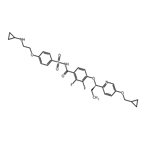 CC[C@@H](Oc1ccc(C(=O)NS(=O)(=O)c2ccc(OCCNC3CC3)cc2)c(F)c1F)c1ccc(OCC2CC2)cn1